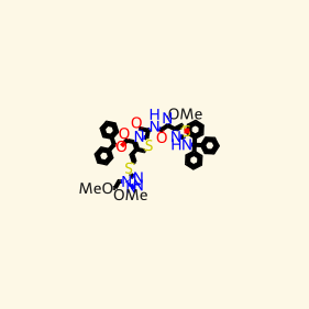 CON=C(C(=O)NC1C(=O)N2C(C(=O)OC(c3ccccc3)c3ccccc3)=C(C=CSc3nnnn3CC(OC)OC)CSC12)c1csc(NC(c2ccccc2)(c2ccccc2)c2ccccc2)n1